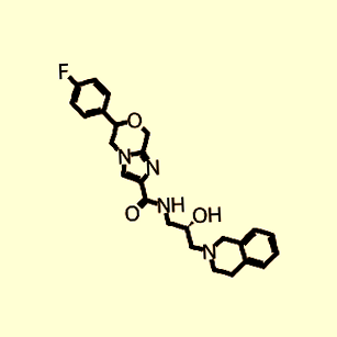 O=C(NC[C@H](O)CN1CCc2ccccc2C1)c1cn2c(n1)COC(c1ccc(F)cc1)C2